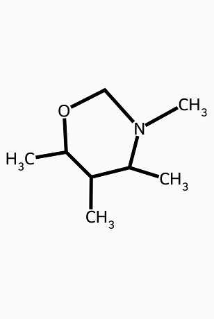 CC1OCN(C)C(C)C1C